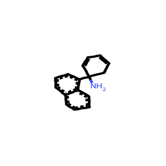 NC1(c2cccc3ccccc23)C=CC=CC1